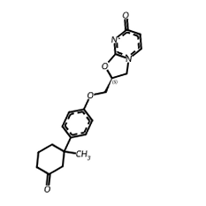 CC1(c2ccc(OC[C@@H]3Cn4ccc(=O)nc4O3)cc2)CCCC(=O)C1